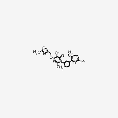 Cc1nc(COc2nc(C)n(-c3cccc(-c4nc(C(C)C)ncc4C)c3)c(=O)c2Br)co1